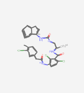 Cc1ccc(CC(=O)Nc2ccc(Cl)c(C(=O)NC(CNC(=O)N[C@@H]3CCc4ccccc43)C(=O)O)c2Cl)cc1Cl